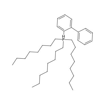 CCCCCCCC[PH](CCCCCCCC)(CCCCCCCC)c1ccccc1-c1ccccc1